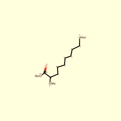 CCCCCCCCCCCCCCCCC(OC)C(=O)OC